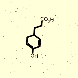 O=C(O)CCC1C=CC(O)=CC1